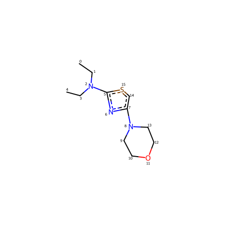 CCN(CC)c1nc(N2CCOCC2)cs1